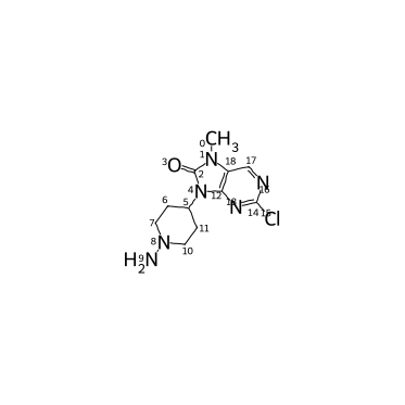 Cn1c(=O)n(C2CCN(N)CC2)c2nc(Cl)ncc21